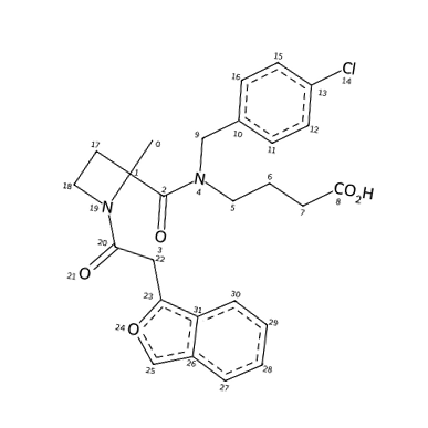 CC1(C(=O)N(CCCC(=O)O)Cc2ccc(Cl)cc2)CCN1C(=O)Cc1occ2ccccc12